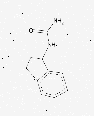 NC(=O)NC1CCc2ccccc21